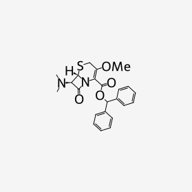 COC1=C(C(=O)OC(c2ccccc2)c2ccccc2)N2C(=O)[C@@H](N(C)C)[C@@H]2SC1